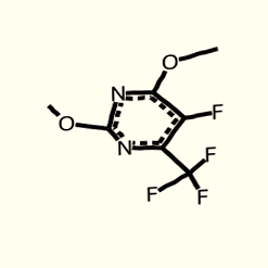 COc1nc(OC)c(F)c(C(F)(F)F)n1